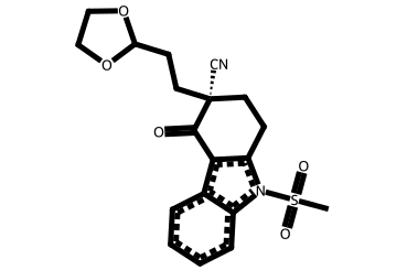 CS(=O)(=O)n1c2c(c3ccccc31)C(=O)[C@@](C#N)(CCC1OCCO1)CC2